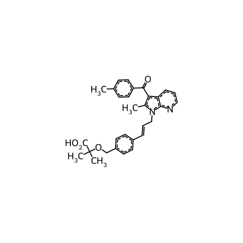 Cc1ccc(C(=O)c2c(C)n(CC=Cc3ccc(COC(C)(C)C(=O)O)cc3)c3ncccc23)cc1